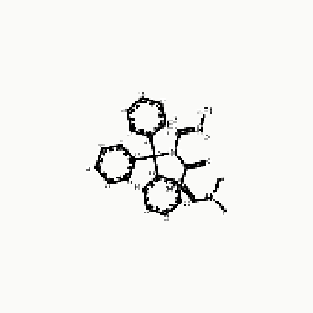 C=C(/C=C\N(C)C)N(/C(CC)=N/CC)C(c1ccccc1)(c1ccccc1)c1ccccc1